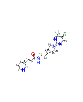 O=C(/C=C/c1cccnc1)NCCC1C2CN(c3ncc(F)c(Cl)n3)CC12